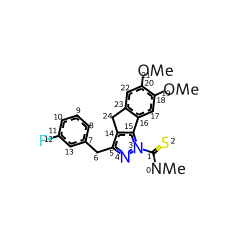 CNC(=S)n1nc(Cc2cccc(F)c2)c2c1-c1cc(OC)c(OC)cc1C2